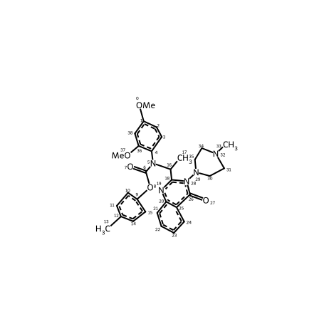 COc1ccc(N(C(=O)Oc2ccc(C)cc2)C(C)c2nc3ccccc3c(=O)n2N2CCN(C)CC2)c(OC)c1